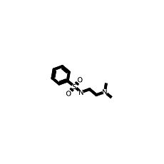 CN(C)CC[N]S(=O)(=O)c1ccccc1